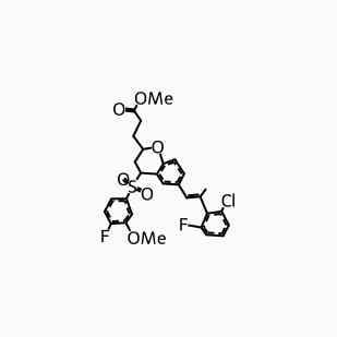 COC(=O)CCC1CC(S(=O)(=O)c2ccc(F)c(OC)c2)c2cc(/C=C(\C)c3c(F)cccc3Cl)ccc2O1